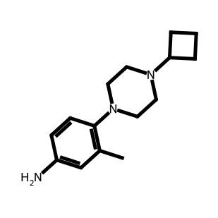 Cc1cc(N)ccc1N1CCN(C2CCC2)CC1